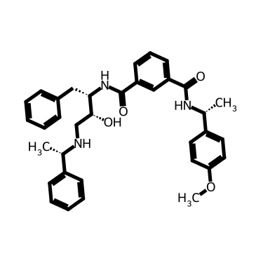 COc1ccc([C@@H](C)NC(=O)c2cccc(C(=O)N[C@@H](Cc3ccccc3)[C@H](O)CN[C@@H](C)c3ccccc3)c2)cc1